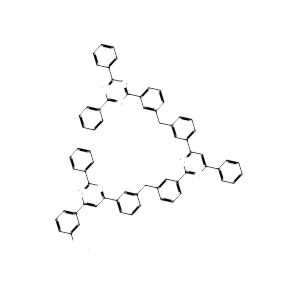 Cc1cccc(-c2cc(-c3cccc(Cc4cccc(-c5nc(-c6ccccc6)cc(-c6cccc(Cc7cccc(-c8nc(-c9ccccc9)nc(-c9ccccc9)n8)c7)c6)n5)c4)c3)nc(-c3ccccc3)n2)c1